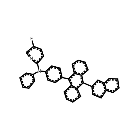 Fc1ccc(N(c2ccccc2)c2ccc(-c3c4ccccc4c(-c4ccc5ccccc5c4)c4ccccc34)cc2)nc1